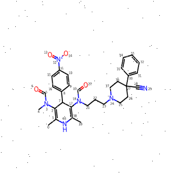 CC1=C(N(C)C=O)C(c2ccc([N+](=O)[O-])cc2)C(N(C=O)CCCN2CCC(C#N)(c3ccccc3)CC2)=C(C)N1